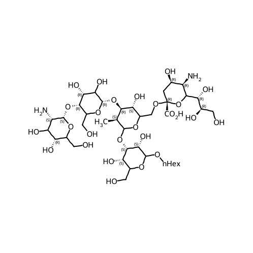 CCCCCCOC1OC(CO)[C@H](O)[C@H](OC2OC(CO[C@]3(C(=O)O)C[C@@H](O)[C@@H](N)C([C@H](O)[C@H](O)CO)O3)[C@@H](O)[C@H](O[C@@H]3OC(CO)[C@H](O[C@@H]4OC(CO)[C@H](O)C(O)[C@@H]4N)[C@H](O)C3O)[C@@H]2C)[C@@H]1O